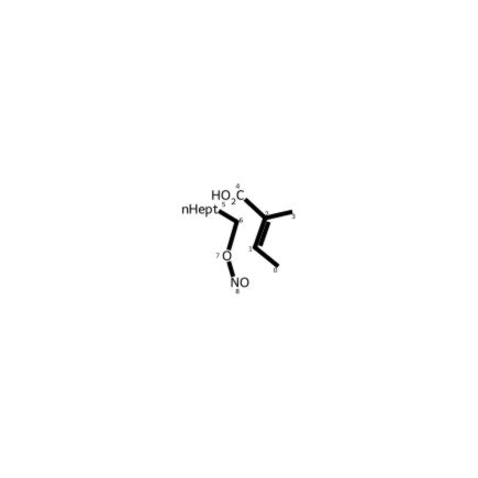 C/C=C(\C)C(=O)O.CCCCCCCCON=O